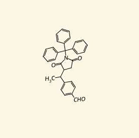 CC(c1ccc(C=O)cc1)C1CC(=O)N(C(c2ccccc2)(c2ccccc2)c2ccccc2)C1=O